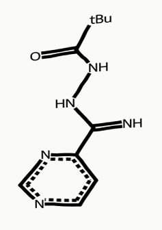 CC(C)(C)C(=O)NNC(=N)c1ccncn1